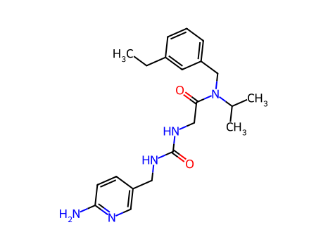 CCc1cccc(CN(C(=O)CNC(=O)NCc2ccc(N)nc2)C(C)C)c1